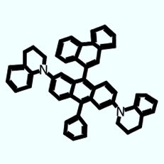 c1ccc(-c2c3cc(N4CCCc5ccccc54)ccc3c(-c3cc4ccccc4c4ccccc34)c3cc(N4CCCc5ccccc54)ccc23)cc1